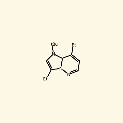 CCC1=CC=NN2C(CC)=CN(C(C)(C)C)C12